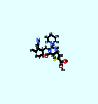 C=C/C(C#N)=C(\C=C/C)Cn1c(N2CCCCC2)nc2cc(C(=O)OC)sc2c1=O